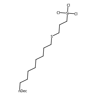 CCCCCCCCCCCCCCCCCCSCCC[Si](Cl)(Cl)Cl